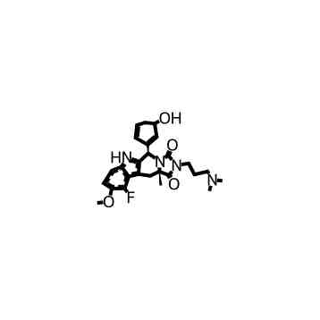 COc1ccc2[nH]c3c(c2c1F)C[C@@]1(C)C(=O)N(CCCN(C)C)C(=O)N1[C@@H]3C1=CC(O)CC=C1